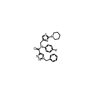 O=C(c1cn(Cc2ccccc2)nn1)N(Cc1csc(N2CCCCC2)n1)c1ccc(F)cc1